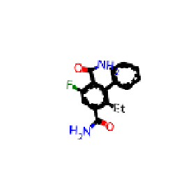 CCc1c(C(N)=O)cc(F)c(C(N)=O)c1-c1ccccc1